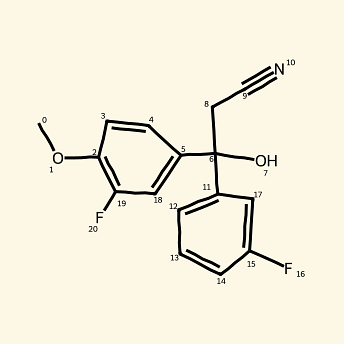 COc1ccc(C(O)(CC#N)c2cccc(F)c2)cc1F